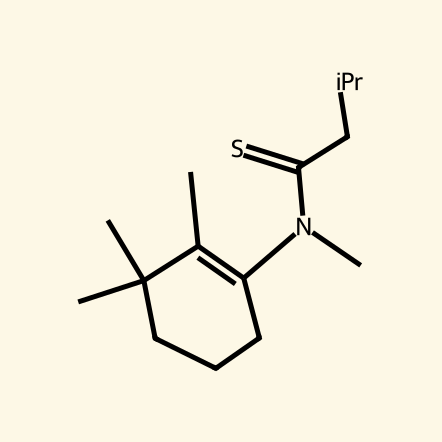 CC1=C(N(C)C(=S)CC(C)C)CCCC1(C)C